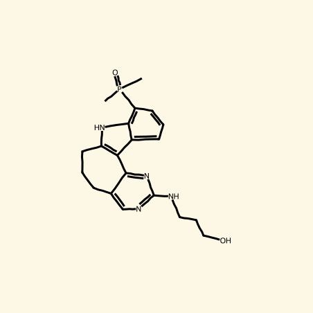 CP(C)(=O)c1cccc2c3c([nH]c12)CCCc1cnc(NCCCO)nc1-3